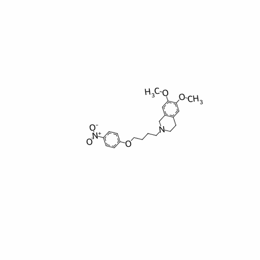 COc1cc2c(cc1OC)CN(CCCCOc1ccc([N+](=O)[O-])cc1)CC2